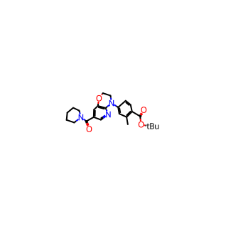 Cc1cc(N2CCOc3cc(C(=O)N4CCCCC4)cnc32)ccc1C(=O)OC(C)(C)C